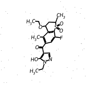 CCOC1CC(C)S(=O)(=O)c2c(F)cc(C(=O)c3cnn(CC)c3O)c(C)c21